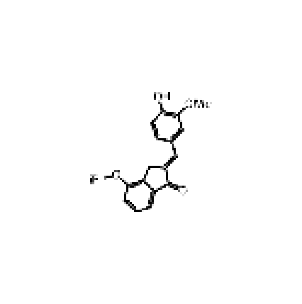 COc1cc(/C=C2\Cc3c(OC(C)C)cccc3C2=O)ccc1O